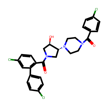 O=C(c1ccc(Cl)cc1)N1CCN([C@@H]2CN(C(=O)c3ccc(Cl)cc3-c3ccc(Cl)cc3)C[C@H]2O)CC1